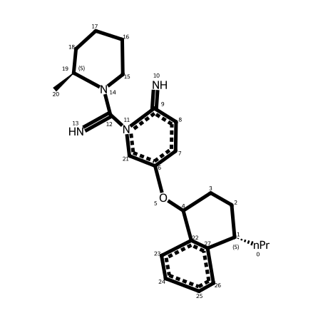 CCC[C@H]1CCC(Oc2ccc(=N)n(C(=N)N3CCCC[C@@H]3C)c2)c2ccccc21